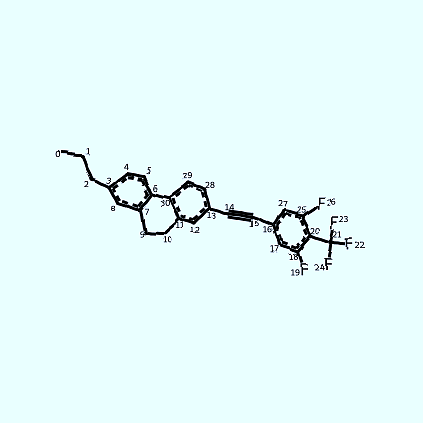 CCCc1ccc2c(c1)CCc1cc(C#Cc3cc(F)c(C(F)(F)F)c(F)c3)ccc1-2